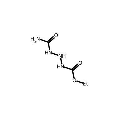 CCOC(=O)NNNC(N)=O